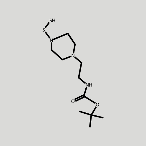 CC(C)(C)OC(=O)NCCN1CCN(SS)CC1